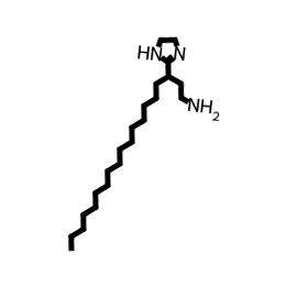 CCCCCCCCCCCCCCCCC(CCN)C1=NCCN1